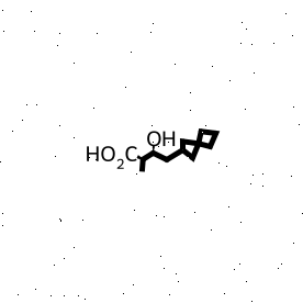 C[C@@H](C(=O)O)[C@H](O)CC1CC2(CCC2)C1